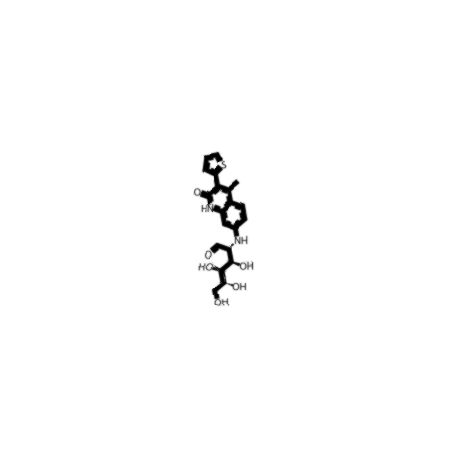 Cc1c(-c2cccs2)c(=O)[nH]c2cc(N[C@@H](C=O)[C@@H](O)[C@H](O)[C@H](O)CO)ccc12